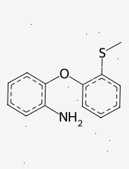 CSc1ccccc1Oc1ccccc1N